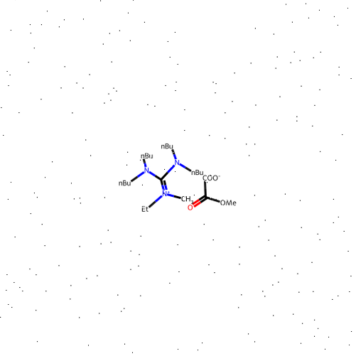 CCCCN(CCCC)C(N(CCCC)CCCC)=[N+](C)CC.COC(=O)C(=O)[O-]